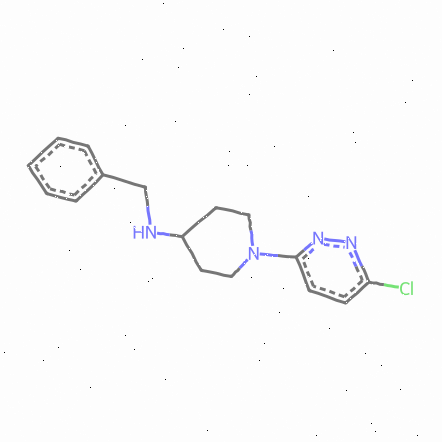 Clc1ccc(N2CCC(NCc3ccccc3)CC2)nn1